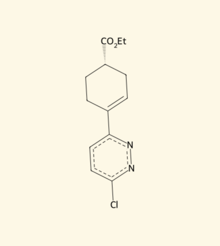 CCOC(=O)[C@@H]1CC=C(c2ccc(Cl)nn2)CC1